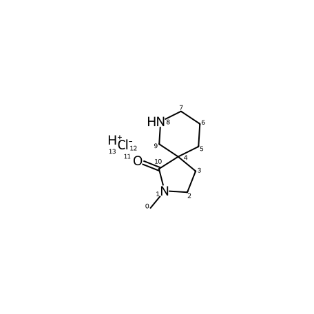 CN1CCC2(CCCNC2)C1=O.[Cl-].[H+]